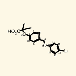 CC(C)(Oc1ccc(COc2ccc(I)cc2)cc1)C(=O)O